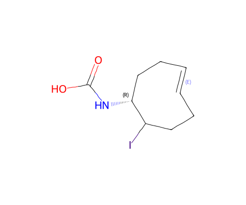 O=C(O)N[C@@H]1CC/C=C/CCC1I